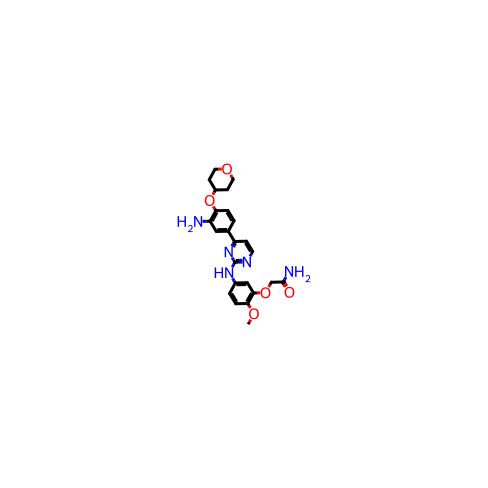 COc1ccc(Nc2nccc(-c3ccc(OC4CCOCC4)c(N)c3)n2)cc1OCC(N)=O